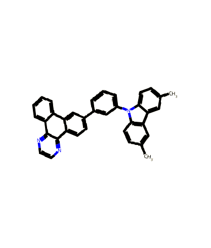 Cc1ccc2c(c1)c1cc(C)ccc1n2-c1cccc(-c2ccc3c(c2)c2ccccc2c2nccnc32)c1